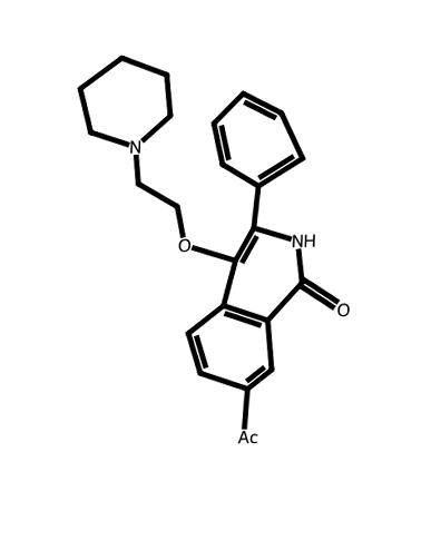 CC(=O)c1ccc2c(OCCN3CCCCC3)c(-c3ccccc3)[nH]c(=O)c2c1